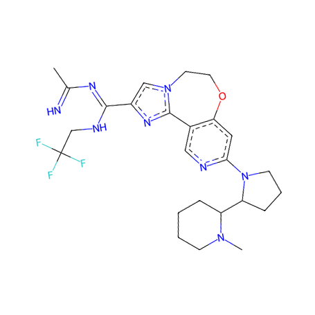 CC(=N)/N=C(\NCC(F)(F)F)c1cn2c(n1)-c1cnc(N3CCCC3C3CCCCN3C)cc1OCC2